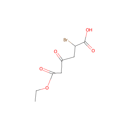 CCOC(=O)CC(=O)CC(Br)C(=O)O